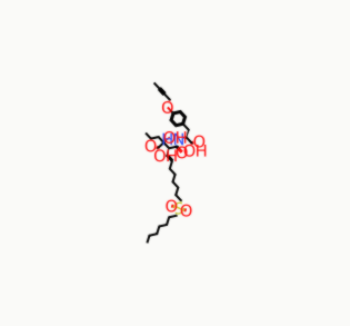 CC#CCOc1ccc(C[C@H](NC(=O)[C@@H](C=CCCCCCCS(=O)(=O)CCCCCCC)[C@@](O)(CCC)C(=O)O)C(=O)O)cc1